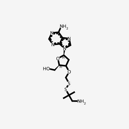 CC(C)(CN)SSCOC1C[C@H](n2cnc3c(N)ncnc32)O[C@@H]1CO